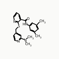 Cc1cc(C)cc(NC(=O)c2cccnc2SCc2ccnc(N(C)C)c2)c1